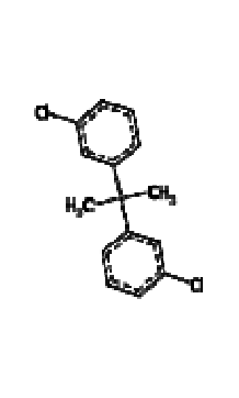 CC(C)(c1cccc(Cl)c1)c1cccc(Cl)c1